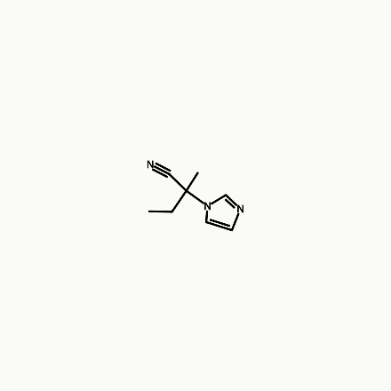 CCC(C)(C#N)n1ccnc1